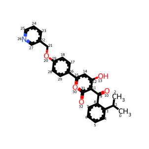 CC(C)c1ccccc1C(=O)c1c(O)cc(-c2ccc(OCc3cccnc3)cc2)oc1=O